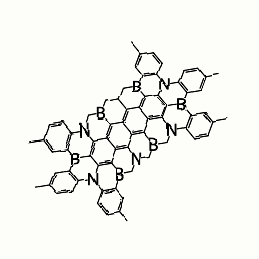 Cc1ccc2c(c1)B1c3cc(C)ccc3N3c4ccc(C)cc4B4CC5CB6CN7c8ccc(C)cc8B8c9cc(C)ccc9N9c%10ccc(C)cc%10B%10CN%11CB%12CN2c2c1c3c4c1c5c3c6c4c7c8c9c%10c4c%11c3c%12c21